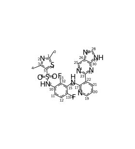 Cc1nc(C)c(S(=O)(=O)Nc2ccc(F)c(Nc3ncccc3-c3ncc4nc[nH]c4n3)c2F)s1